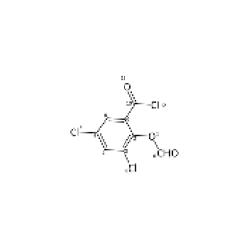 O=COc1c(Cl)cc(Cl)cc1C(=O)Cl